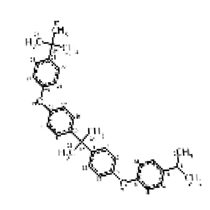 CC(C)c1ccc(Oc2ccc(C(C)(C)c3ccc(Oc4ccc(C(C)(C)C)cc4)cc3)cc2)cc1